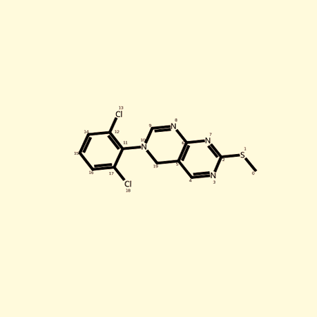 CSc1ncc2c(n1)N=CN(c1c(Cl)cccc1Cl)C2